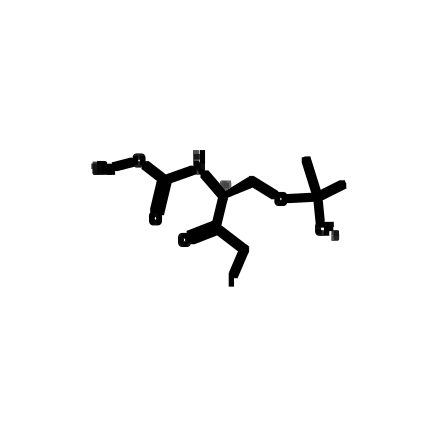 CC(C)(C)OC(=O)N[C@@H](COC(C)(C)C(F)(F)F)C(=O)CI